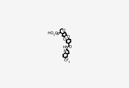 O=C(O)OC1CCOc2cc(Oc3ccc(C(=O)Nc4ccc5cc(C(F)(F)F)ccc5n4)cc3)c(Cl)cc21